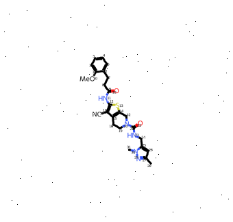 COc1ccccc1CCC(=O)Nc1sc2c(c1C#N)CCN(C(=O)NCc1cc(C)nn1C)C2